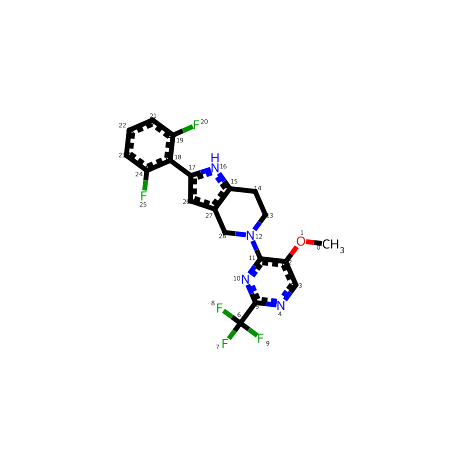 COc1cnc(C(F)(F)F)nc1N1CCc2[nH]c(-c3c(F)cccc3F)cc2C1